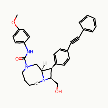 COc1ccc(NC(=O)N2CCCCN3[C@H](CO)[C@H](c4ccc(C#Cc5ccccc5)cc4)[C@@H]3C2)cc1